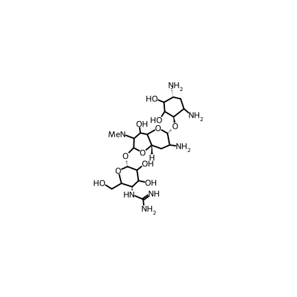 CNC1C(O[C@H]2OC(CO)[C@@H](NC(=N)N)C(O)C2O)O[C@H]2CC(N)[C@@H](O[C@@H]3C(N)C[C@@H](N)C(O)C3O)OC2C1O